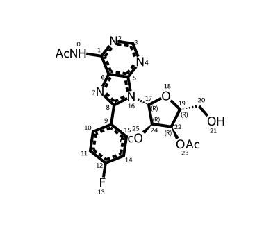 CC(=O)Nc1ncnc2c1nc(-c1ccc(F)cc1)n2[C@@H]1O[C@H](CO)[C@@H](OC(C)=O)[C@H]1OC(C)=O